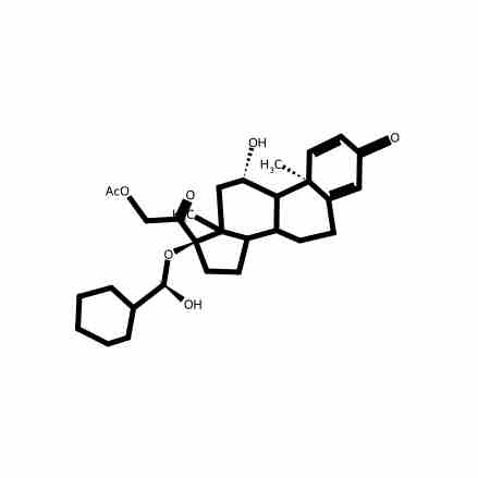 CC(=O)OCC(=O)[C@@]1(O[C@@H](O)C2CCCCC2)CCC2C3CCC4=CC(=O)C=C[C@]4(C)C3[C@@H](O)CC21C